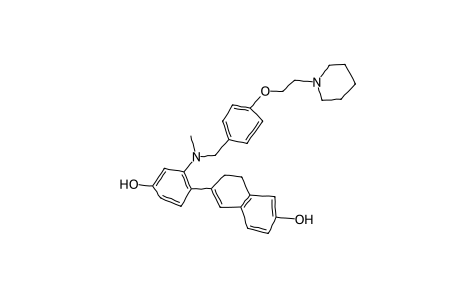 CN(Cc1ccc(OCCN2CCCCC2)cc1)c1cc(O)ccc1C1=Cc2ccc(O)cc2CC1